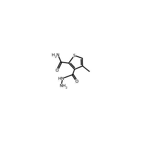 Cc1csc(C(N)=O)c1C(=O)NN